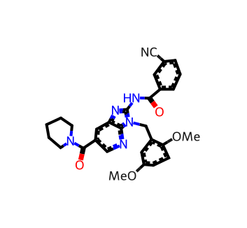 COc1ccc(OC)c(Cn2c(NC(=O)c3cccc(C#N)c3)nc3cc(C(=O)N4CCCCC4)cnc32)c1